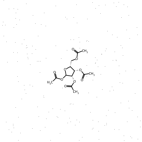 CC(=O)OC[C@H]1OC(OC(C)=O)[C@@H](OC(C)=O)[C@H]1OC(C)=O